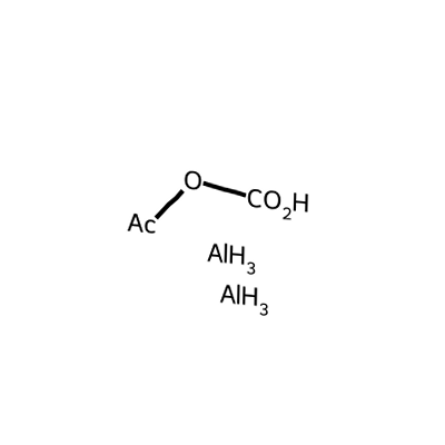 CC(=O)OC(=O)O.[AlH3].[AlH3]